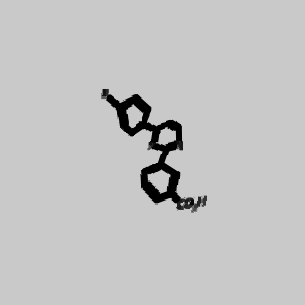 O=C(O)c1cccc(-c2nccc(-c3ccc(F)cc3)n2)c1